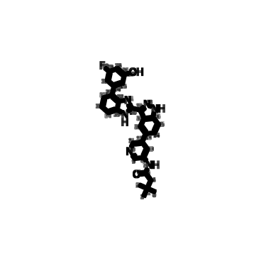 CC(C)(C)CC(=O)Nc1cncc(-c2ccc3[nH]nc(-c4nc5c(-c6cc(O)cc(F)c6)cccc5[nH]4)c3c2)c1